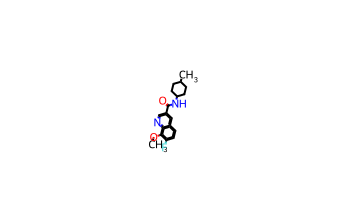 COc1c(F)ccc2cc(C(=O)NC3CCC(C)CC3)cnc12